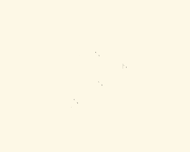 Nc1nc(N)c2sccc2n1